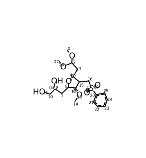 COC(C[C@@H]1OC(C[C@H](O)CO)[C@H](OC)C1CS(=O)(=O)c1ccccc1)OC